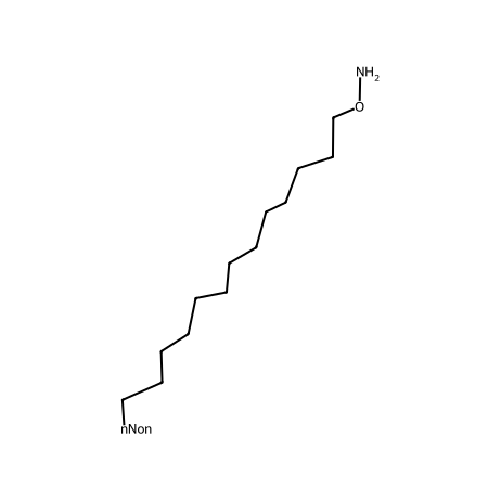 CCCCCCCCCCCCCCCCCCCCCCON